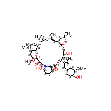 C=CC[C@@H]1/C=C(\C)C[C@H](C)C[C@H](OC)[C@H]2O[C@@](O)(C(=O)C(O)N3CCCC[C@H]3C(=O)O[C@H](/C(C)=C/[C@@H]3CC[C@@H](O)[C@H](OC)C3)[C@H](C)[C@@H](O)CC1=O)[C@H](C)C[C@@H]2OC